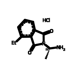 CCc1cccc2c1C(=O)N([C@@H](C)N)C2=O.Cl